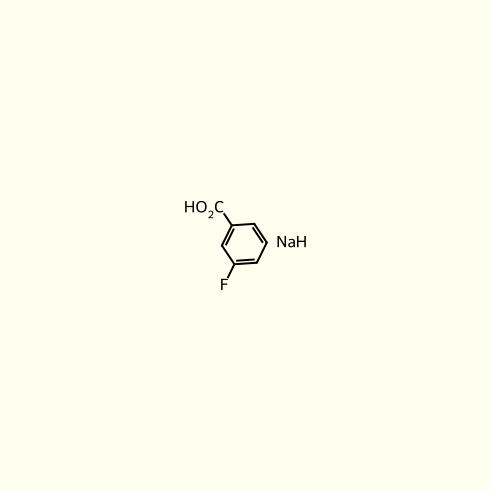 O=C(O)c1cccc(F)c1.[NaH]